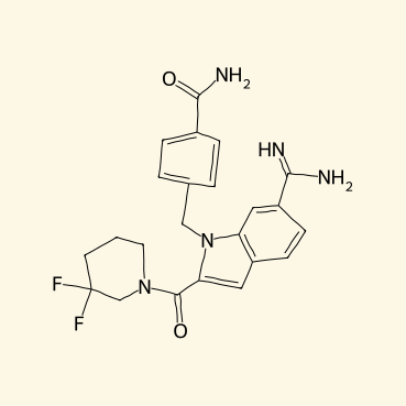 N=C(N)c1ccc2cc(C(=O)N3CCCC(F)(F)C3)n(Cc3ccc(C(N)=O)cc3)c2c1